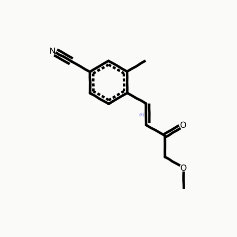 COCC(=O)/C=C/c1ccc(C#N)cc1C